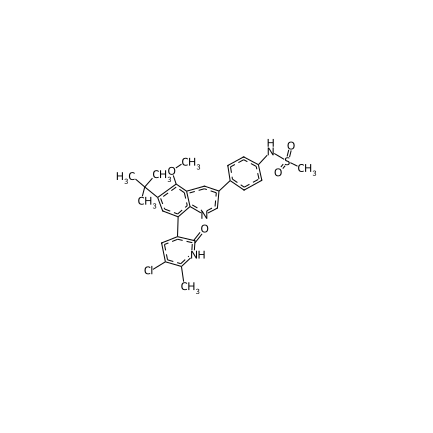 COc1c(C(C)(C)C)cc(-c2cc(Cl)c(C)[nH]c2=O)c2ncc(-c3ccc(NS(C)(=O)=O)cc3)cc12